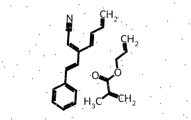 C=CC=CC(C=Cc1ccccc1)=CC#N.C=CCOC(=O)C(=C)C